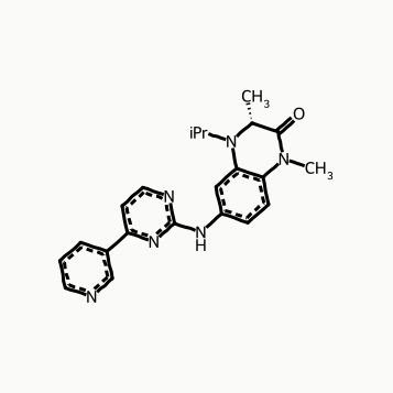 CC(C)N1c2cc(Nc3nccc(-c4cccnc4)n3)ccc2N(C)C(=O)[C@H]1C